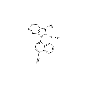 Cn1c([S-])c(-c2ccc(C#N)c3ccccc23)c2cnccc21.[Na+]